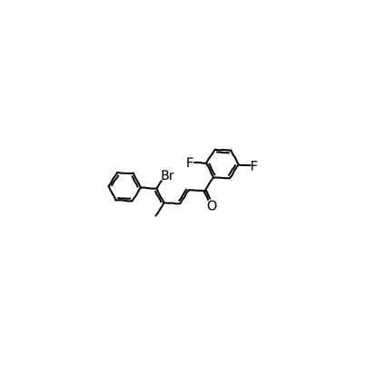 CC(C=CC(=O)c1cc(F)ccc1F)=C(Br)c1ccccc1